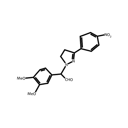 COc1ccc(C(C=O)N2CCC(c3ccc([N+](=O)[O-])cc3)=N2)cc1OC